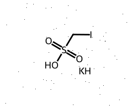 O=S(=O)(O)CI.[KH]